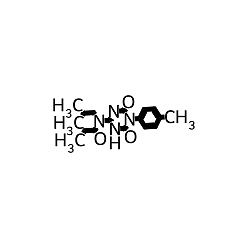 CCC(=O)N(CC(C)C)c1nc(=O)n(-c2ccc(C)cc2)c(=O)[nH]1